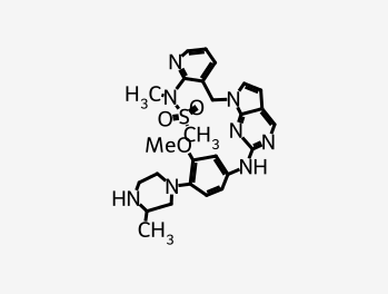 COc1cc(Nc2ncc3ccn(Cc4cccnc4N(C)S(C)(=O)=O)c3n2)ccc1N1CCNC(C)C1